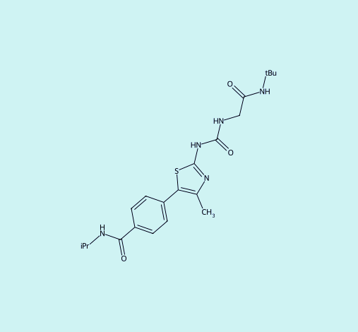 Cc1nc(NC(=O)NCC(=O)NC(C)(C)C)sc1-c1ccc(C(=O)NC(C)C)cc1